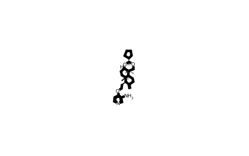 C=C1CCC2[C@]3(C)CO[C@@H](C4CCCC4)O[C@@H]3CC[C@@]2(C)[C@@H]1CCOc1ccncc1N